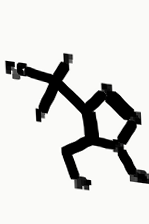 CCCCn1nnc(C(F)(F)C(F)(F)F)c1CC(C)C